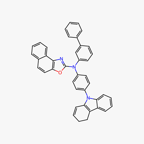 C1=Cc2c(c3ccccc3n2-c2ccc(N(c3cccc(-c4ccccc4)c3)c3nc4c(ccc5ccccc54)o3)cc2)CC1